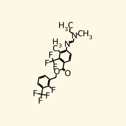 CCN(C)/C=N/c1ccc(C(=O)OCc2cccc(C(F)(F)F)c2F)c(C(F)(F)F)c1C